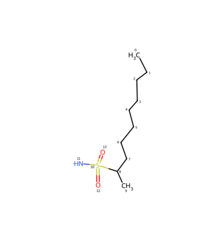 CCCCCCCCC(C)S([NH])(=O)=O